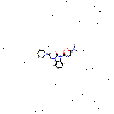 CC[C@H](C)C(NC(=O)n1c(=O)n(CCN2CCCCC2)c2ccccc21)C(=O)N(C)C